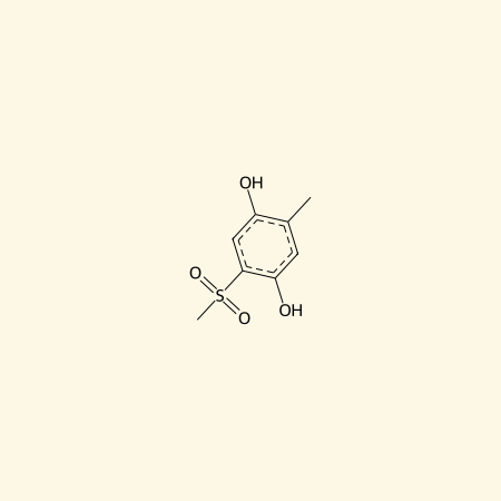 Cc1cc(O)c(S(C)(=O)=O)cc1O